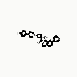 CC(C)[C@]1(C(=O)N2CCc3ccc(-c4ccncc4)cc3C2)CC[C@@H](N2CCC(c3ccc(F)cc3)CC2)C1